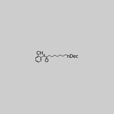 CCCCCCCCCCCCCCCCCC(=O)Cc1ccccc1C